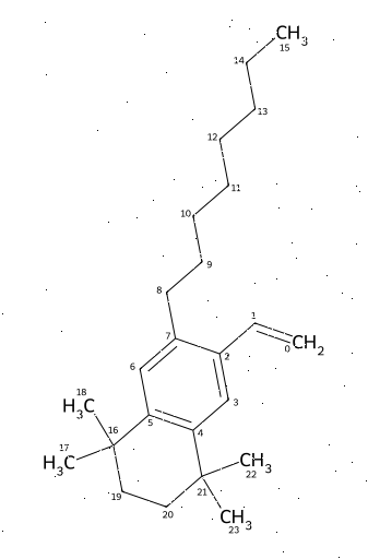 C=Cc1cc2c(cc1CCCCCCCC)C(C)(C)CCC2(C)C